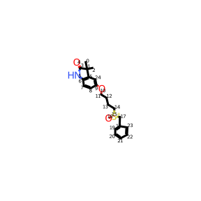 CC1(C)C(=O)Nc2ccc(OCCCC[S+]([O-])Cc3ccccc3)cc21